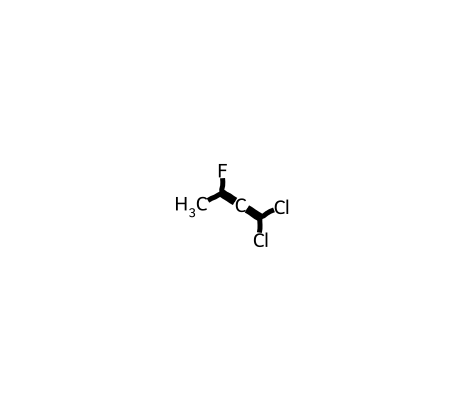 CC(F)=C=C(Cl)Cl